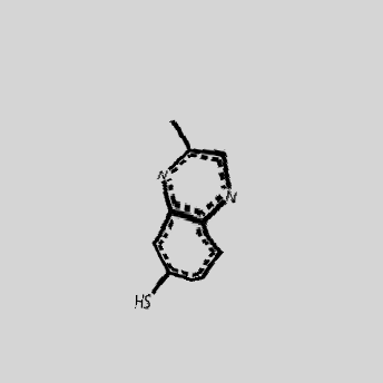 Cc1cnc2ccc(S)cc2n1